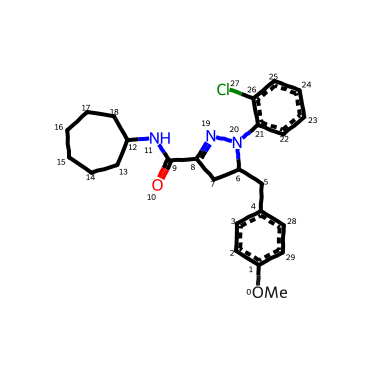 COc1ccc(CC2CC(C(=O)NC3CCCCCC3)=NN2c2ccccc2Cl)cc1